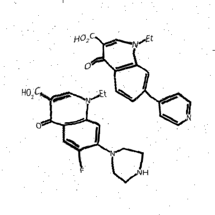 CCn1cc(C(=O)O)c(=O)c2cc(F)c(N3CCNCC3)cc21.CCn1cc(C(=O)O)c(=O)c2ccc(-c3ccncc3)cc21